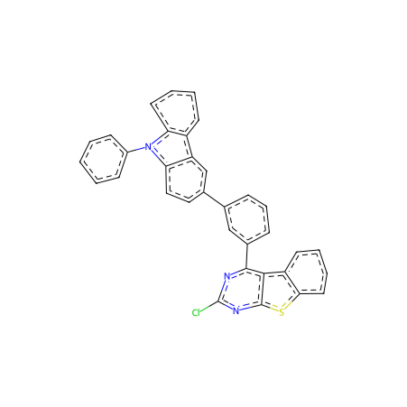 Clc1nc(-c2cccc(-c3ccc4c(c3)c3ccccc3n4-c3ccccc3)c2)c2c(n1)sc1ccccc12